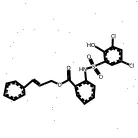 O=C(OC/C=C/c1ccccc1)c1ccccc1NS(=O)(=O)c1cc(Cl)cc(Cl)c1O